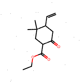 C=CC1CC(=O)C(C(=O)OCC)CC1(C)C